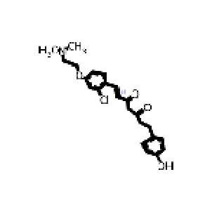 CN(C)CCOc1ccc(/C=C/C(=O)CC(=O)CCc2ccc(O)cc2)c(Cl)c1